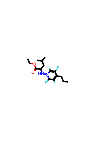 CCCC1=C(F)C(F)N(NC(CC(C)C)C(=O)OCC)C(F)=C1F